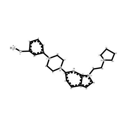 COc1cccc(N2CCN(c3ccc4ccn(CCN5CCCC5)c4n3)CC2)c1